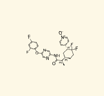 C[C@@H](C(=O)Nc1cnc(Oc2ccc(F)cc2F)cn1)[C@@H]1CCC(F)(F)[C@@H](c2cc[n+]([O-])cc2)C1